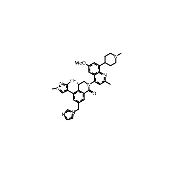 COc1cc(C2CCN(C)CC2)c2nc(C)cc(N3CCc4c(cc(Cn5ccnc5)cc4-c4cn(C)nc4C(F)(F)F)C3=O)c2c1